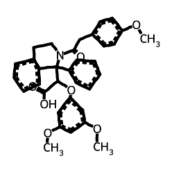 COc1ccc(CC(=O)N2CCc3ccccc3C2(c2ccccc2)C(Oc2cc(OC)cc(OC)c2)C(=O)O)cc1